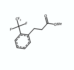 COC(=O)CCc1ccccc1C(F)(F)C(F)(F)F